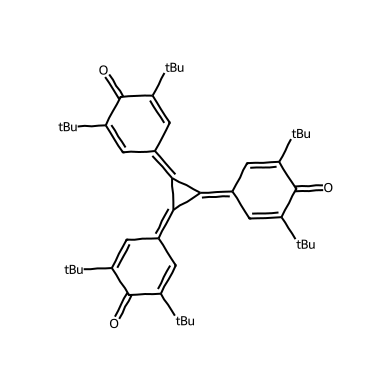 CC(C)(C)C1=CC(=C2C(=C3C=C(C(C)(C)C)C(=O)C(C(C)(C)C)=C3)C2=C2C=C(C(C)(C)C)C(=O)C(C(C)(C)C)=C2)C=C(C(C)(C)C)C1=O